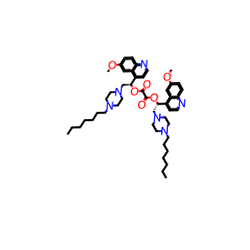 CCCCCCCN1CCN(C[C@H](OC(=O)C(=O)O[C@@H](CN2CCN(CCCCCCC)CC2)c2ccnc3ccc(OC)cc23)c2ccnc3ccc(OC)cc23)CC1